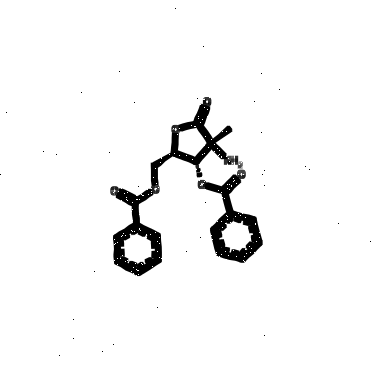 C[C@]1(N)C(=O)O[C@H](COC(=O)c2ccccc2)[C@H]1OC(=O)c1ccccc1